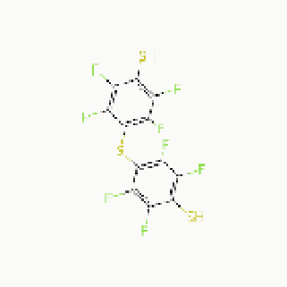 Fc1c(F)c(Sc2c(F)c(F)c(S)c(F)c2F)c(F)c(F)c1S